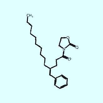 CCCCCCCCCCC(CCC(=O)N1CCOC1=O)Cc1ccccc1